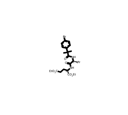 CCOC(=O)CC[C@@H](NC(=O)[C@@H](NC(=O)C(C)(C)c1ccc(Br)cc1)C(C)C)C(=O)OCC